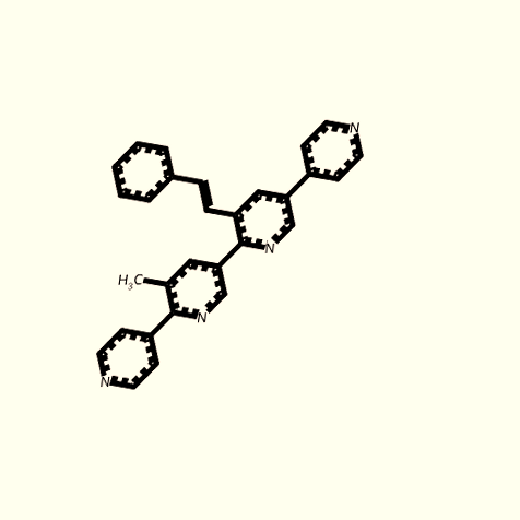 Cc1cc(-c2ncc(-c3ccncc3)cc2C=Cc2ccccc2)cnc1-c1ccncc1